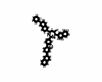 CC1=C=C(c2ccc3cc(-c4ccccc4)ccc3c2)N=C(c2ccc3c(c2)oc2cc(-c4ccc5ccccc5c4)ccc23)N=C1c1ccc2ccccc2c1